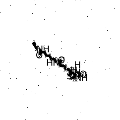 C#CCNC(=O)CCCCCNC(=O)CCCCC1SC[C@]2(C)NC(=O)N[C@H]12